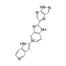 c1cc2[nH]c(-[n+]3ccc4[nH]c(-c5cnc6[nH]ncc6n5)nc4c3)cc2cn1